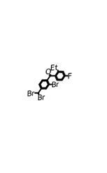 CCc1cc(F)ccc1C(=O)c1ccc(C(Br)Br)cc1Br